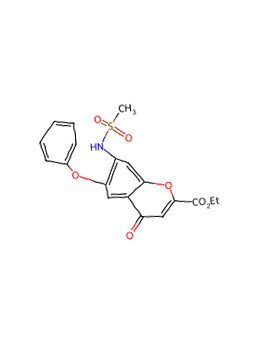 CCOC(=O)c1cc(=O)c2cc(Oc3ccccc3)c(NS(C)(=O)=O)cc2o1